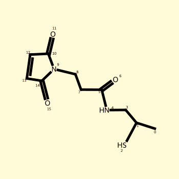 CC(S)CNC(=O)CCN1C(=O)C=CC1=O